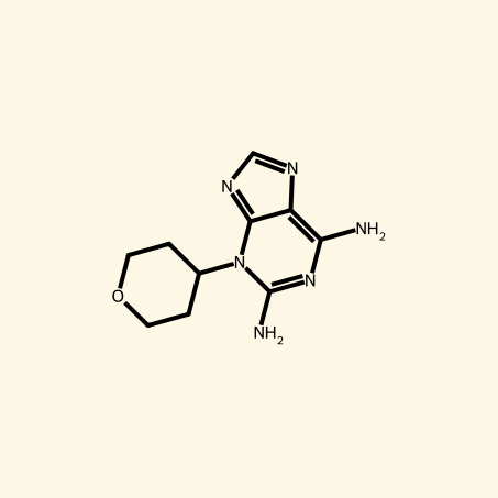 Nc1nc(N)n(C2CCOCC2)c2ncnc1-2